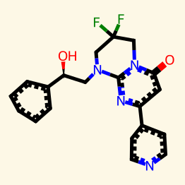 O=c1cc(-c2ccncc2)nc2n1CC(F)(F)CN2C[C@H](O)c1ccccc1